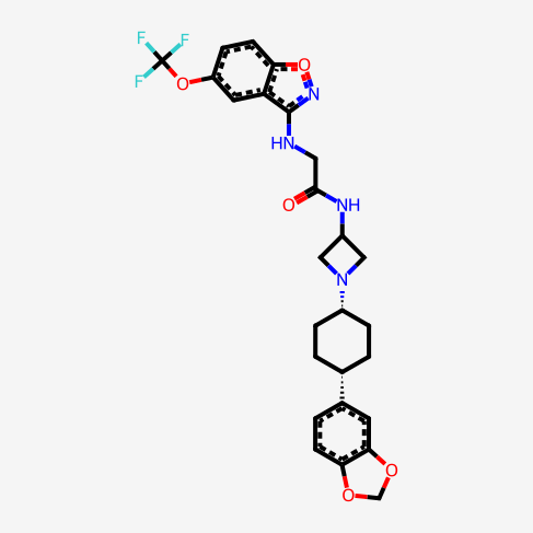 O=C(CNc1noc2ccc(OC(F)(F)F)cc12)NC1CN([C@H]2CC[C@@H](c3ccc4c(c3)OCO4)CC2)C1